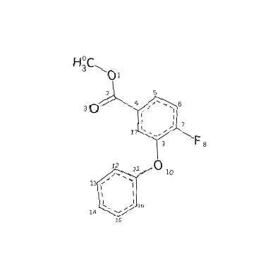 COC(=O)c1ccc(F)c(Oc2ccccc2)c1